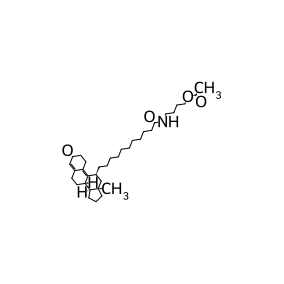 CC(=O)OCCCCNC(=O)CCCCCCCCCC[C@H]1C[C@]2(C)CCC[C@H]2[C@@H]2CCC3=CC(=O)CCC3=C12